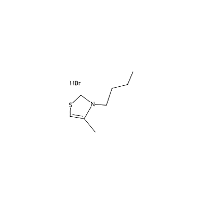 Br.CCCCN1CSC=C1C